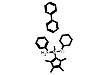 CC1=C(C)C(C)[C]([Zr]([CH3])([NH]C2CCCCC2)[SiH2]c2ccccc2)=C1C.c1ccc(-c2ccccc2)cc1